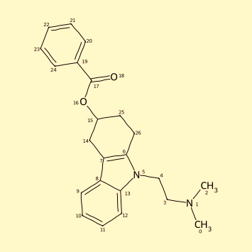 CN(C)CCn1c2c(c3ccccc31)CC(OC(=O)c1ccccc1)CC2